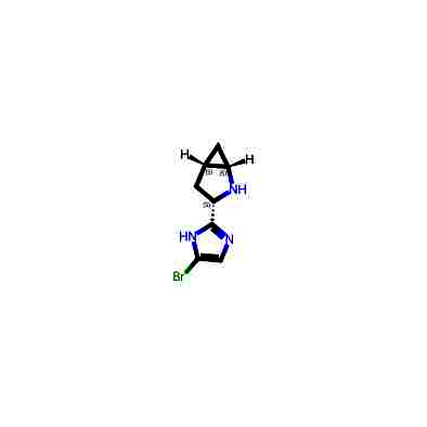 Brc1cnc([C@@H]2C[C@@H]3C[C@@H]3N2)[nH]1